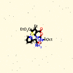 CCCCCCCCNC1OC(=O)c2c(sc(C(=O)OCC)c2CC)N1C(C(N)=O)c1ccccn1